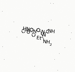 CCC(CCN)c1cc(-c2cccc(N3c4ccc5c(c4C4C=CC=CC43)OC(C3C=CC=CC3)N5)c2)nc(C2=CCNC=C2)n1